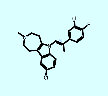 C/C(=C\n1c2c(c3cc(Cl)ccc31)CCN(C)CC2)c1ccc(F)c(Cl)c1